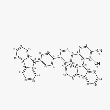 N#Cc1ccc(-c2ccc(-c3ccc(-n4c5ccccc5c5ccccc54)cc3)cc2)c(-n2c3ccccc3c3ccccc32)c1C#N